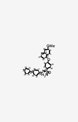 COc1ccc2c(Oc3ccc(S(N)(=O)=NCc4ccc(-c5ccncc5)cc4)cc3)ccnc2c1